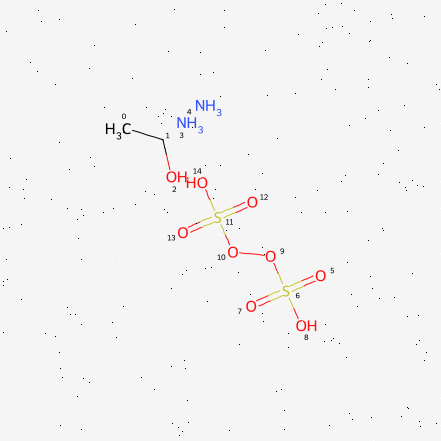 CCO.N.N.O=S(=O)(O)OOS(=O)(=O)O